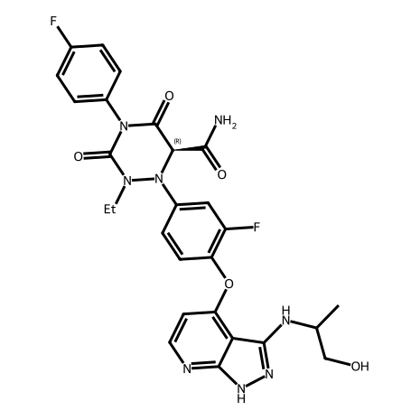 CCN1C(=O)N(c2ccc(F)cc2)C(=O)[C@@H](C(N)=O)N1c1ccc(Oc2ccnc3[nH]nc(NC(C)CO)c23)c(F)c1